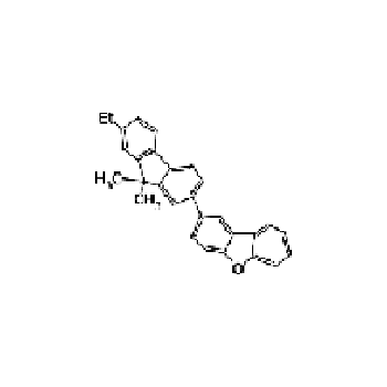 CCc1ccc2c(c1)C(C)(C)c1cc(-c3ccc4oc5ccccc5c4c3)ccc1-2